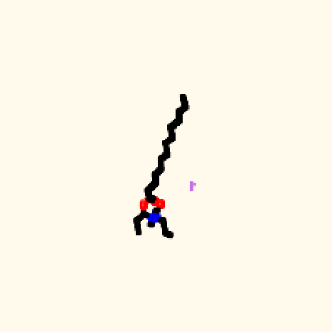 CCCCCCCCCCCCCC(=O)OC(CC)[N+](C)(C)CCC.[I-]